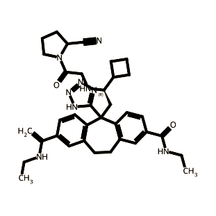 C=C(NCC)c1ccc2c(c1)CCc1cc(C(=O)NCC)ccc1C2(C[C@@H](NCC(=O)N1CCCC1C#N)C1CCC1)c1nnn[nH]1